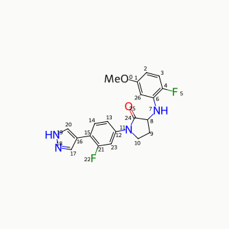 COc1ccc(F)c(NC2CCN(c3ccc(-c4cn[nH]c4)c(F)c3)C2=O)c1